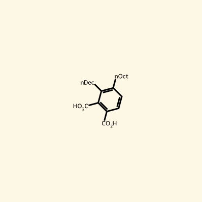 CCCCCCCCCCc1c(CCCCCCCC)ccc(C(=O)O)c1C(=O)O